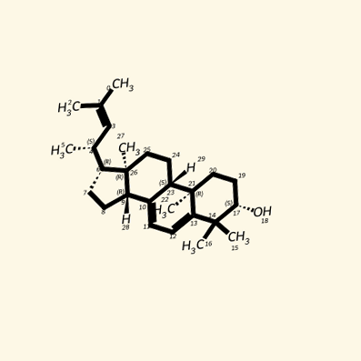 CC(C)=C[C@@H](C)[C@H]1CC[C@H]2C3=CC=C4C(C)(C)[C@@H](O)CC[C@]4(C)[C@H]3CC[C@]12C